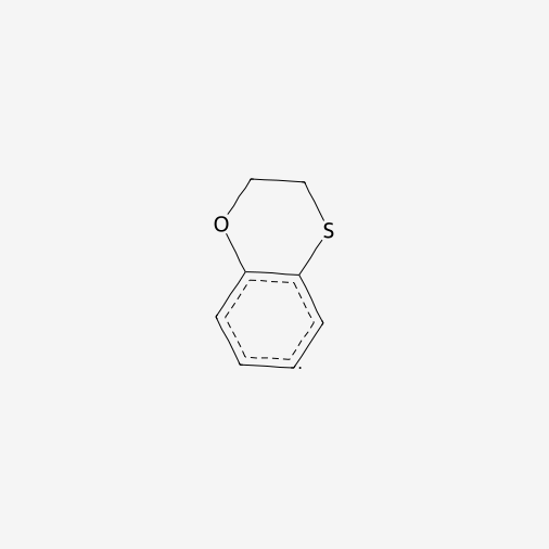 [c]1ccc2c(c1)SCCO2